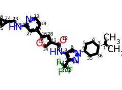 CC(C)[C@H]1CC[C@@H](n2cc(NC(=O)c3coc(-c4ccnc(NCC5CC5)c4)c3)c(C(F)(F)F)n2)CC1